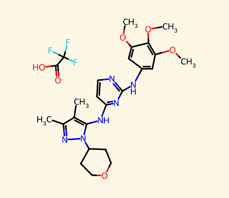 COc1cc(Nc2nccc(Nc3c(C)c(C)nn3C3CCOCC3)n2)cc(OC)c1OC.O=C(O)C(F)(F)F